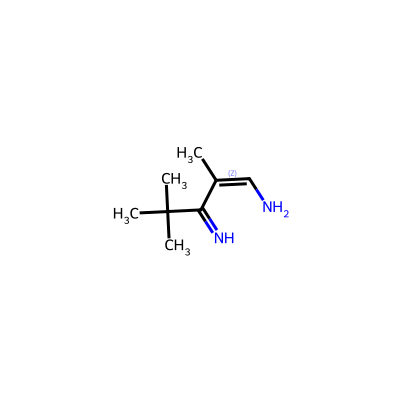 C/C(=C/N)C(=N)C(C)(C)C